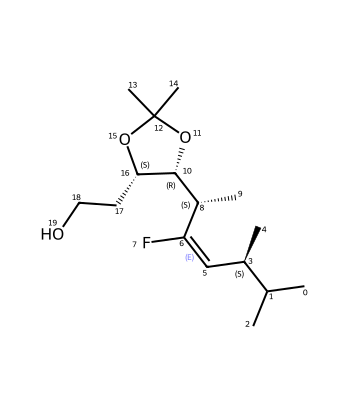 CC(C)[C@H](C)/C=C(/F)[C@@H](C)[C@H]1OC(C)(C)O[C@H]1CCO